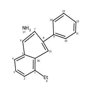 CCc1cccc2ccc(-c3ccccc3)cc12.N